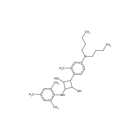 CCCCN(CCCC)c1ccc(C2C(O)C(Nc3c(C)cc(C)cc3C)C2O)c(C)c1